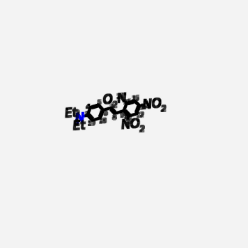 CCN(CC)c1ccc(C=Cc2c([N+](=O)[O-])cc([N+](=O)[O-])cc2[N+](=O)[O-])cc1